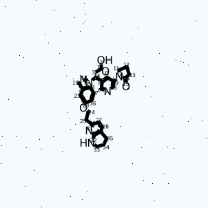 O=C(O)C[C@H](c1cncc(N2CCCC2=O)c1)n1ncc2cc(OCCc3ccc4c(n3)NCCC4)ccc21